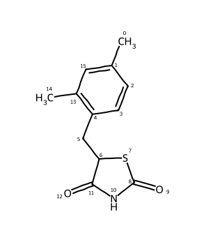 Cc1ccc(CC2SC(=O)NC2=O)c(C)c1